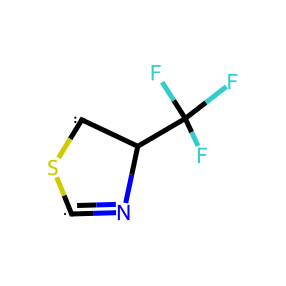 FC(F)(F)C1[C]S[C]=N1